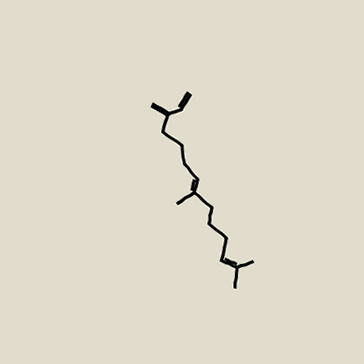 C=CC(=C)CCC/C=C(\C)CCCC=C(C)C